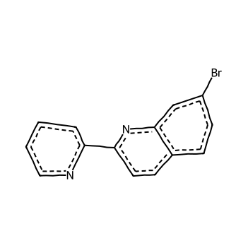 Brc1ccc2ccc(-c3ccccn3)nc2c1